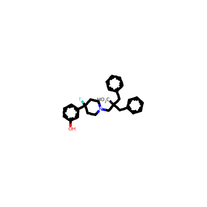 O=C(O)C(Cc1ccccc1)(Cc1ccccc1)CN1CCC(F)(c2cccc(O)c2)CC1